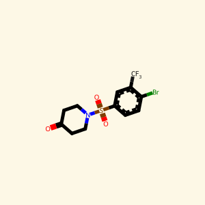 O=C1CCN(S(=O)(=O)c2ccc(Br)c(C(F)(F)F)c2)CC1